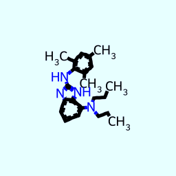 CCCN(CCC)c1cccc2nc(Nc3c(C)cc(C)cc3C)[nH]c12